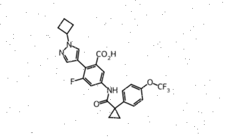 O=C(O)c1cc(NC(=O)C2(c3ccc(OC(F)(F)F)cc3)CC2)cc(F)c1-c1cnn(C2CCC2)c1